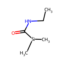 CCNC(=O)[Si](C)C